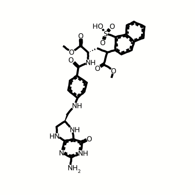 COC(=O)C(C[C@H](NC(=O)c1ccc(NC[C@@H]2CNc3nc(N)[nH]c(=O)c3N2)cc1)C(=O)OC)c1ccc2ccccc2c1S(=O)(=O)O